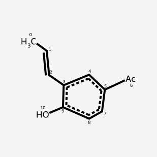 CC=Cc1cc(C(C)=O)ccc1O